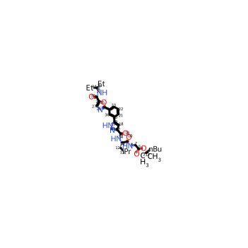 CCCCC(C)(C)OC(=O)CNC(=O)[C@H](CC(C)C)NC(=O)c1cc(-c2cccc(-c3ncc(C(=O)NC(CC)CC)o3)c2)[nH]n1